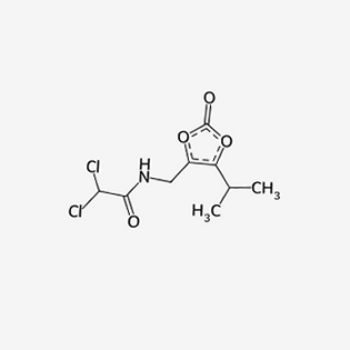 CC(C)c1oc(=O)oc1CNC(=O)C(Cl)Cl